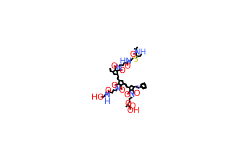 C=CC1CC(C=CC2CC(C=CC3CC(/C=C/c4ccccc4)C4C(=O)N(CCCOC(C)C(=O)O)C(=O)C34)C3C(=O)N(CCCC(=O)NCCO)C(=O)C23)C2C(=O)N(CCCC(=O)NCCSC(CC)C(=O)NC(C)C)C(=O)C12